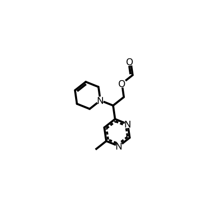 Cc1cc(C(COC=O)N2CC=CCC2)ncn1